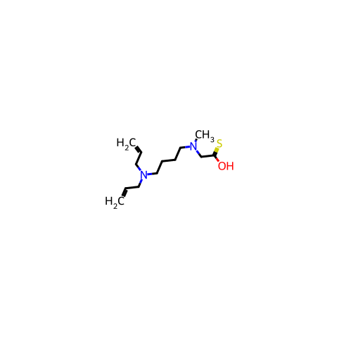 C=CCN(CC=C)CCCCN(C)CC(O)=S